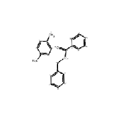 Cc1ccc(C)cc1.O=C(OCc1ccccc1)c1ccccc1